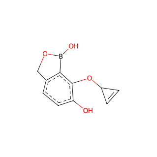 OB1OCc2ccc(O)c(OC3C=C3)c21